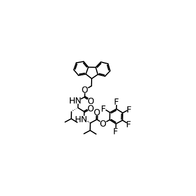 CC(C)C[C@H](NC(=O)OCC1c2ccccc2-c2ccccc21)C(=O)N[C@H](C(=O)Oc1c(F)c(F)c(F)c(F)c1F)C(C)C